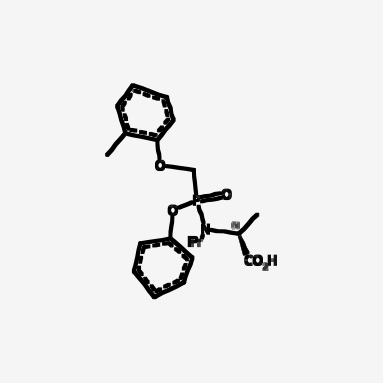 Cc1ccccc1OCP(=O)(Oc1ccccc1)N(C(C)C)[C@@H](C)C(=O)O